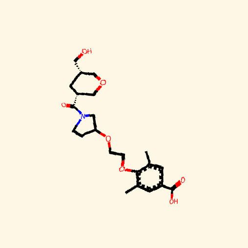 Cc1cc(C(=O)O)cc(C)c1OCCOC1CCN(C(=O)[C@H]2COC[C@@H](CO)C2)C1